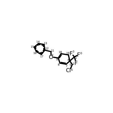 FC(F)(F)C1(CCl)C=CC(OCc2ccccc2)=CC1